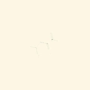 C=C(CCC)C(=O)NN(CC)CCC